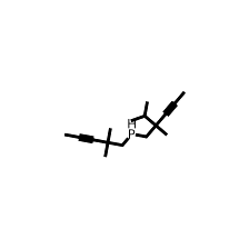 CC#CC(C)(C)CPCC(C)(C#CC)C(C)C